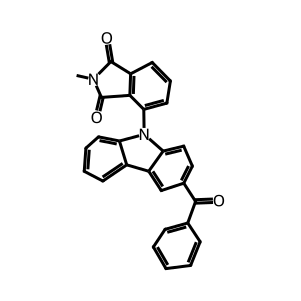 CN1C(=O)c2cccc(-n3c4ccccc4c4cc(C(=O)c5ccccc5)ccc43)c2C1=O